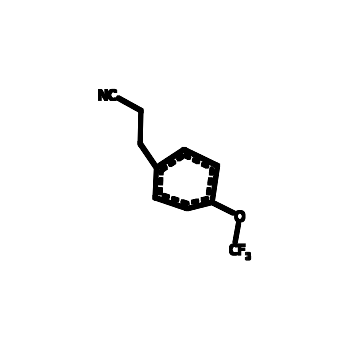 N#CCCc1ccc(OC(F)(F)F)cc1